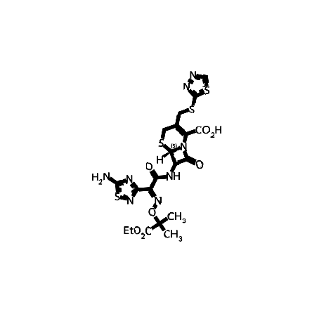 CCOC(=O)C(C)(C)ON=C(C(=O)NC1C(=O)N2C(C(=O)O)=C(CSc3nncs3)CS[C@@H]12)c1nsc(N)n1